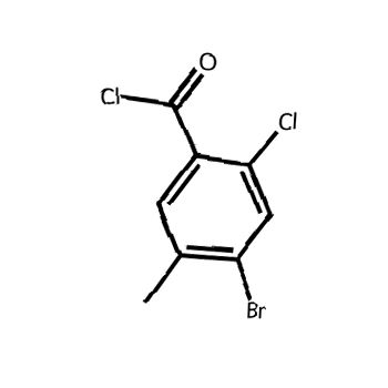 Cc1cc(C(=O)Cl)c(Cl)cc1Br